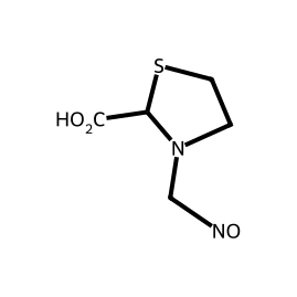 O=NCN1CCSC1C(=O)O